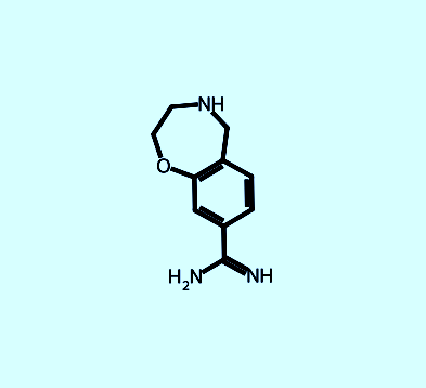 N=C(N)c1ccc2c(c1)OCCNC2